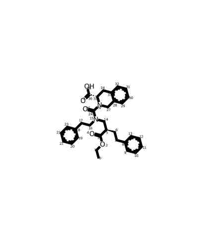 CCOC(=O)[C@H](CCc1ccccc1)CN(CCc1ccccc1)C(=O)N1Cc2ccccc2C[C@H]1C(=O)O